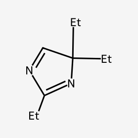 CCC1=NC(CC)(CC)C=N1